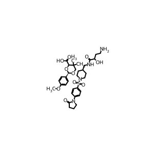 COc1ccc([C@@H]2OCC(C)(C)C(C(=O)O)O2)cc1.NCCC(O)C(=O)NCC1CCN(S(=O)(=O)c2ccc(N3CCCC3=O)cc2)CC1